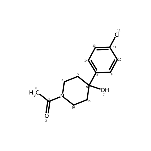 CC(=O)N1CCC(O)(c2ccc(Cl)cc2)CC1